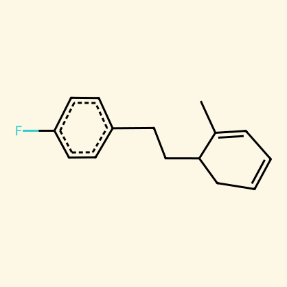 CC1=CC=CCC1CCc1ccc(F)cc1